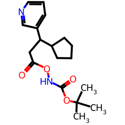 CC(C)(C)OC(=O)NOC(=O)CC(c1cccnc1)C1CCCC1